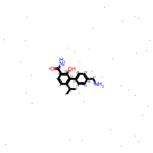 CC(C)c1ccc(C(N)=O)c(O)c1-c1ccc(CN)cc1